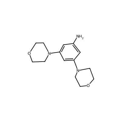 Nc1cc(N2CCOCC2)cc(N2CCOCC2)c1